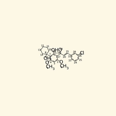 COc1cc(OC)c(C2(O)CCCCC2)c(O)c1C(=O)C=Cc1cccc(Cl)c1